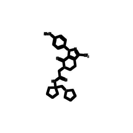 COc1ccc(-n2nc(C(F)(F)F)c3c2C(=O)N(CC(=O)NC2(CN4CCCC4)CCCC2)CC3)cc1